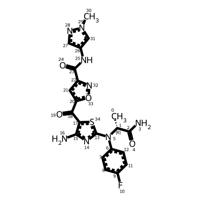 C[C@H](C(N)=O)N(c1ccc(F)cc1)c1nc(N)c(C(=O)c2cc(C(=O)Nc3cnn(C)c3)no2)s1